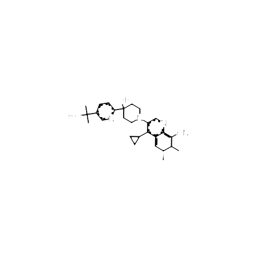 CC1C(C#N)=c2ncc(N3CCC(O)(c4ccc(C(C)(C)O)cn4)CC3)c(C3CC3)c2=C[C@@H]1C